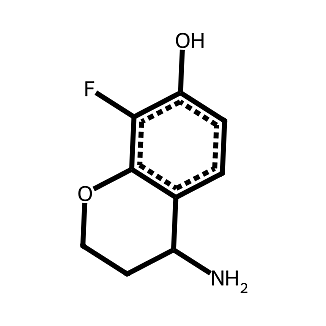 NC1CCOc2c1ccc(O)c2F